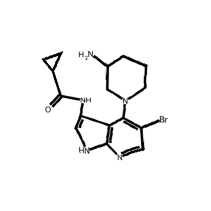 NC1CCCN(c2c(Br)cnc3[nH]cc(NC(=O)C4CC4)c23)C1